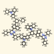 c1ccc(-c2cc(-c3ccc4c(c3)c3ccccc3n4-c3ccccc3)cc(-c3ccc(-c4cc(-c5ccccc5)nc(-c5cccc(-c6ccc7c8cc(-c9cc(-c%10ccc(-c%11cc(-c%12ccccc%12)nc(-c%12ccccc%12)n%11)c%11ccccc%10%11)cc(-n%10c%11ccccc%11c%11ccccc%11%10)c9)ccc8n(-c8ccccc8)c7c6)c5)n4)c4ccccc34)c2)cc1